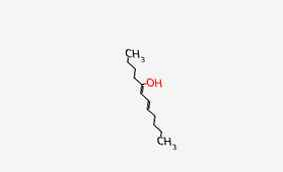 CCCCC=C/C=C(\O)CCCC